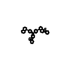 c1ccc2c(-c3ccc(N(c4ccc(-c5cccc6c5ccc5c7ccccc7sc65)cc4)c4ccc5c(c4)oc4ccccc45)cc3)cccc2c1